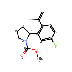 C=C(C)c1ccc(F)cc1C1CCCN1C(=O)OC(C)(C)C